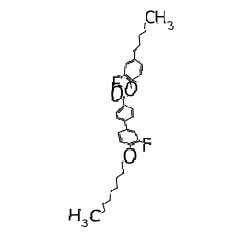 CCCCCCCCCOc1ccc(-c2ccc(C(=O)Oc3ccc(CCCCCC)cc3F)cc2)cc1F